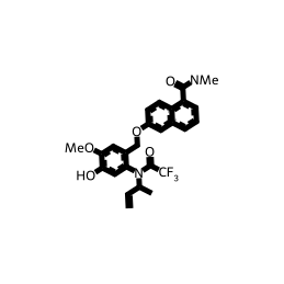 C=CC(C)N(C(=O)C(F)(F)F)c1cc(O)c(OC)cc1COc1ccc2c(C(=O)NC)cccc2c1